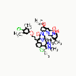 COc1ccc(N2CC(C)n3c(c(CCCOc4cc(C)c(Cl)c(C)c4)c4ccc(Cl)c(-c5c(C)nn(C)c5C)c43)C2=O)c2c1cc(C(=O)O)n2Cc1cc(C)ccn1